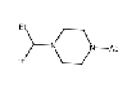 CCC(CC)N1CCN(C(C)=O)CC1